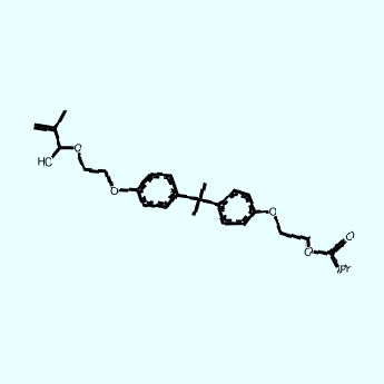 C=C(C)C(O)OCCOc1ccc(C(C)(C)c2ccc(OCCOC(=O)C(C)C)cc2)cc1